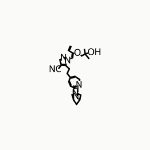 C=C/C(=C\n1ncc(C#N)c1CCC1=CCN=C(N2CC3CC(C2)N3)C=C1)OCC(C)(C)O